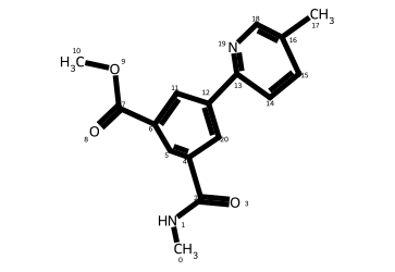 CNC(=O)c1cc(C(=O)OC)cc(-c2ccc(C)cn2)c1